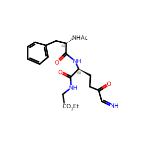 CCOC(=O)CNC(=O)[C@H](CCC(=O)C=N)NC(=O)[C@H](Cc1ccccc1)NC(C)=O